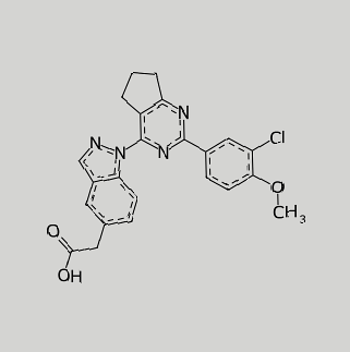 COc1ccc(-c2nc3c(c(-n4ncc5cc(CC(=O)O)ccc54)n2)CCC3)cc1Cl